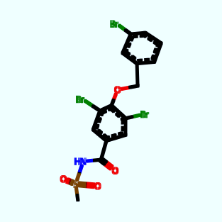 CS(=O)(=O)NC(=O)c1cc(Br)c(OCc2cccc(Br)c2)c(Br)c1